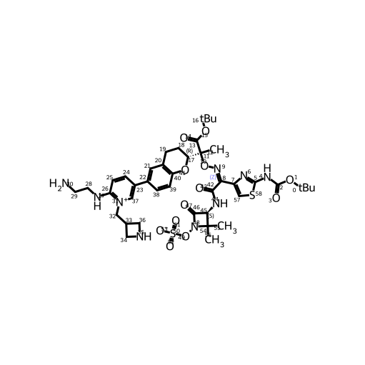 CC(C)(C)OC(=O)Nc1nc(/C(=N/OC(C)(C(=O)OC(C)(C)C)[C@H]2CCc3cc(-c4ccc(NCCN)[n+](CC5CNC5)c4)ccc3O2)C(=O)N[C@@H]2C(=O)N(OS(=O)(=O)[O-])C2(C)C)cs1